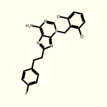 Nc1ncn(Cc2c(Cl)cccc2Cl)c2nc(CCc3ccc(F)cc3)nc1-2